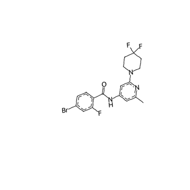 Cc1cc(NC(=O)c2ccc(Br)cc2F)cc(N2CCC(F)(F)CC2)n1